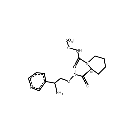 NC(CONC(=O)[C@@H]1CCCCN1C(=O)NOS(=O)(=O)O)c1cccnc1